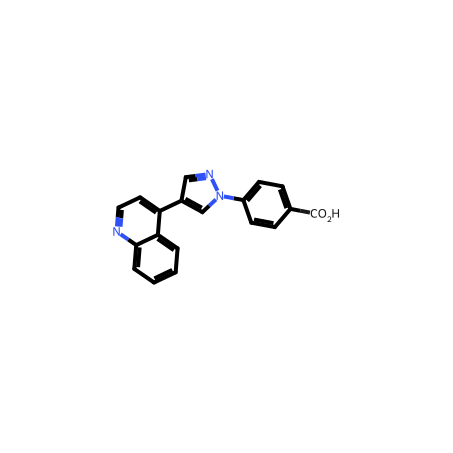 O=C(O)c1ccc(-n2cc(-c3ccnc4ccccc34)cn2)cc1